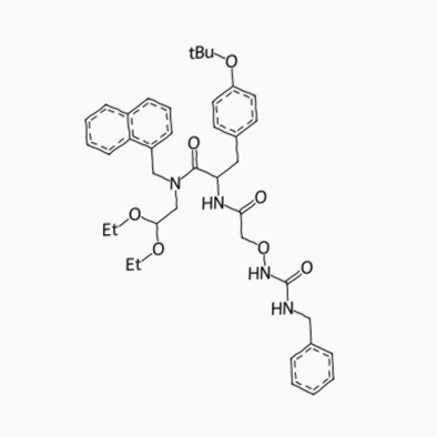 CCOC(CN(Cc1cccc2ccccc12)C(=O)C(Cc1ccc(OC(C)(C)C)cc1)NC(=O)CONC(=O)NCc1ccccc1)OCC